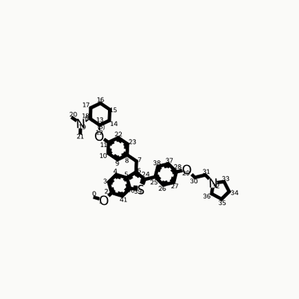 COc1ccc2c(Cc3ccc(O[C@H]4CCCC[C@H]4N(C)C)cc3)c(-c3ccc(OCCN4CCCC4)cc3)sc2c1